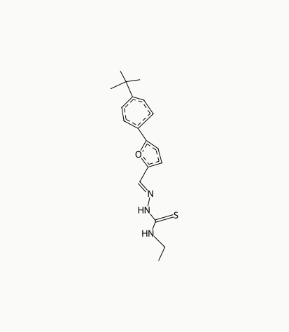 CCNC(=S)N/N=C/c1ccc(-c2ccc(C(C)(C)C)cc2)o1